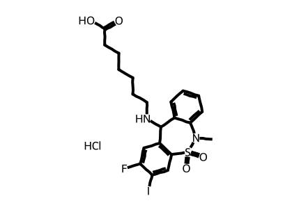 CN1c2ccccc2C(NCCCCCCC(=O)O)c2cc(F)c(I)cc2S1(=O)=O.Cl